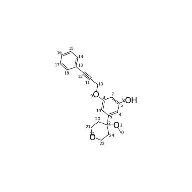 COC1(c2cc(O)cc(OCC#Cc3ccccc3)c2)CCOCC1